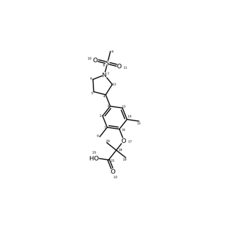 Cc1cc(C2CCN(S(C)(=O)=O)C2)cc(C)c1OC(C)(C)C(=O)O